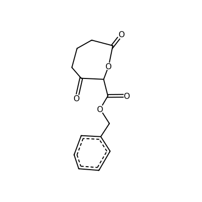 O=C1CCCC(=O)C(C(=O)OCc2ccccc2)O1